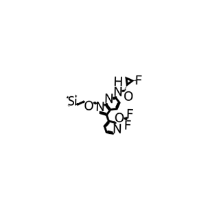 C[Si](C)(C)CCOCn1cc(-c2cccnc2OC(F)F)c2ccc(NC(=O)[C@@H]3C[C@@H]3F)nc21